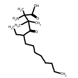 CCCCCCCCC(CC)C(=O)C(C)(C)C(C)(N)C(=O)O